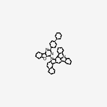 c1ccc(-c2ccc(-c3nc(-n4c5ccc6ccccc6c5c5cc6c7ccccc7n7c8ccccc8c(c54)c67)c4oc5ccccc5c4n3)cc2)cc1